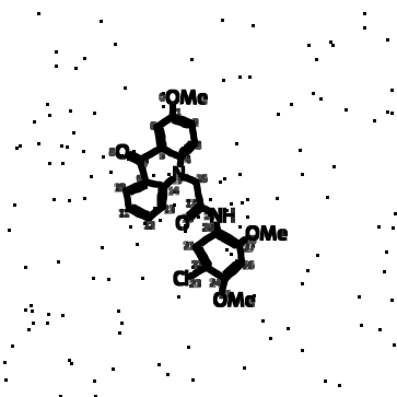 COc1ccc2c(c1)c(=O)c1ccccc1n2CC(=O)Nc1cc(Cl)c(OC)cc1OC